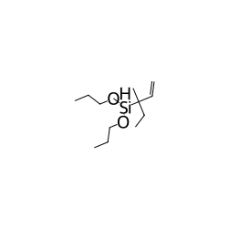 C=CC(C)(CC)[SiH](OCCC)OCCC